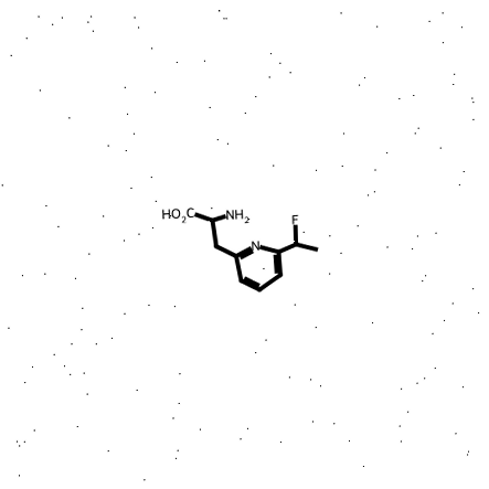 CC(F)c1cccc(CC(N)C(=O)O)n1